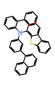 c1ccc(-c2ccccc2N(c2cccc(-c3cccc4ccccc34)c2)c2cccc3c2sc2ccccc23)cc1